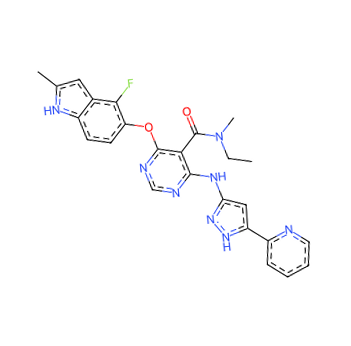 CCN(C)C(=O)c1c(Nc2cc(-c3ccccn3)[nH]n2)ncnc1Oc1ccc2[nH]c(C)cc2c1F